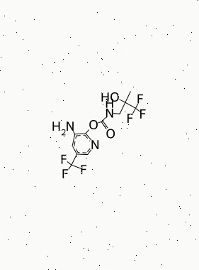 CC(O)(CNC(=O)Oc1ncc(C(F)(F)F)cc1N)C(F)(F)F